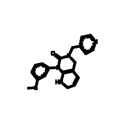 CSc1cccc(N2C(=O)N(Cc3ccncc3)CC3=C2NCC=C3)c1